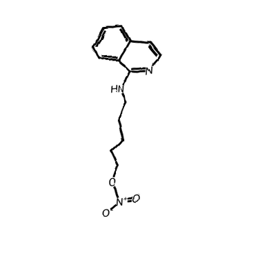 O=[N+]([O-])OCCCCCNc1nccc2ccccc12